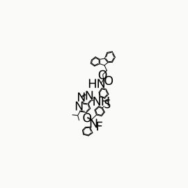 CC(C)c1ccc2c(Nc3cc(C(=O)N(F)c4ccccc4)ccc3Sc3ccc(NC(=O)OCC4c5ccccc5-c5ccccc54)cc3)ncnc2n1